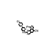 CCN1CCN(c2ccc(Nc3ncc4cc(C#N)c5cnn(C(C)C)c5c4n3)nc2)CC1